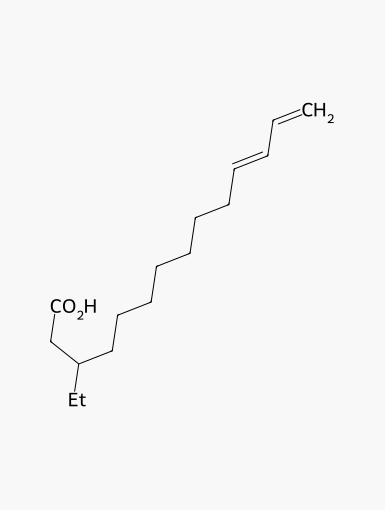 C=CC=CCCCCCCCC(CC)CC(=O)O